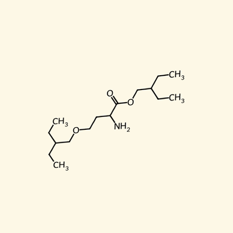 CCC(CC)COCCC(N)C(=O)OCC(CC)CC